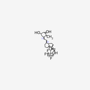 C=C1/C(=C\C=C2/CCC[C@]3(C)C(C4(CC(O)(C(F)(F)F)C(F)(F)F)CC4)=CCC23)CC(O)C[C@@H]1O